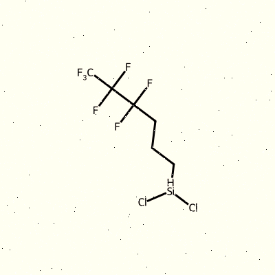 FC(F)(F)C(F)(F)C(F)(F)CCC[SiH](Cl)Cl